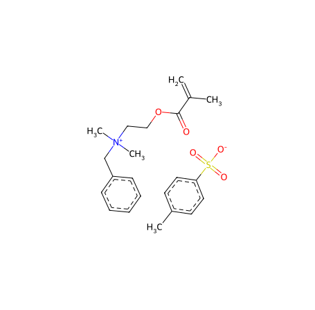 C=C(C)C(=O)OCC[N+](C)(C)Cc1ccccc1.Cc1ccc(S(=O)(=O)[O-])cc1